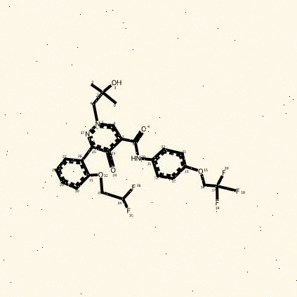 CC(C)(O)Cn1cc(C(=O)Nc2ccc(OCC(F)(F)F)cc2)c(=O)c(-c2ccccc2OCC(F)F)n1